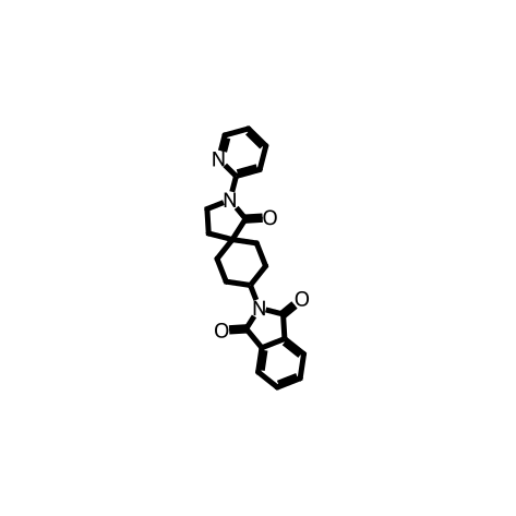 O=C1c2ccccc2C(=O)N1C1CCC2(CC1)CCN(c1ccccn1)C2=O